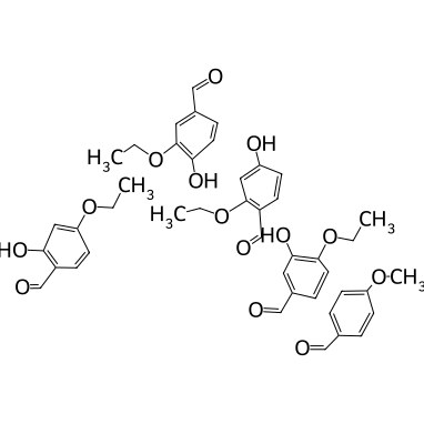 CCOc1cc(C=O)ccc1O.CCOc1cc(O)ccc1C=O.CCOc1ccc(C=O)c(O)c1.CCOc1ccc(C=O)cc1O.COc1ccc(C=O)cc1